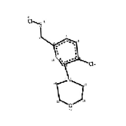 ClSCc1ccc(Cl)c(N2CCOCC2)n1